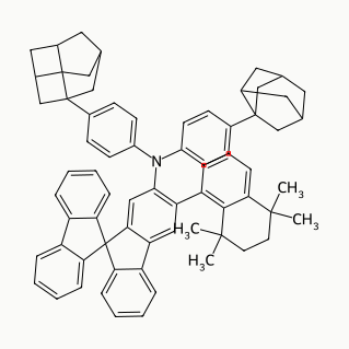 CC1(C)CCC(C)(C)c2c(-c3cc4c(cc3N(c3ccc(C56CC7CC(CC5C7)C6)cc3)c3ccc(C56CC7CC8CC(C5)C86C7)cc3)C3(c5ccccc5-c5ccccc53)c3ccccc3-4)cccc21